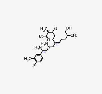 C=C(C(=O)CC)C(CC)CC/C(=C\CCC(C)CO)CN(N)/C=C(\N)c1ccc(F)c(C)c1